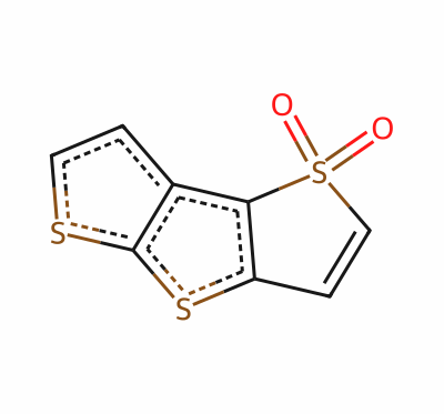 O=S1(=O)C=Cc2sc3sccc3c21